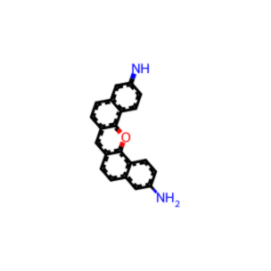 N=c1ccc2c(ccc3cc4ccc5cc(N)ccc5c4oc32)c1